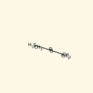 CC(C)CCCCCCCCCCCCCCC(=O)OCCCCCCCCCCCC(C)C